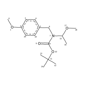 COc1ccc(CN(C(=O)OC(C)(C)C)C(C)OC)cc1